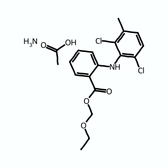 CC(=O)O.CCOCOC(=O)c1ccccc1Nc1c(Cl)ccc(C)c1Cl.N